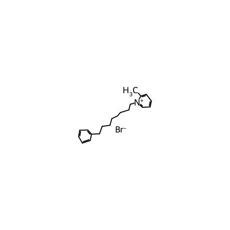 Cc1cccc[n+]1CCCCCCCCc1ccccc1.[Br-]